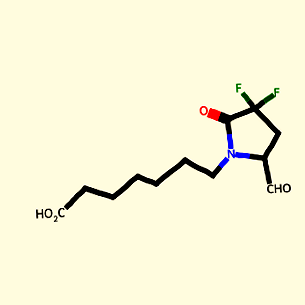 O=CC1CC(F)(F)C(=O)N1CCCCCCC(=O)O